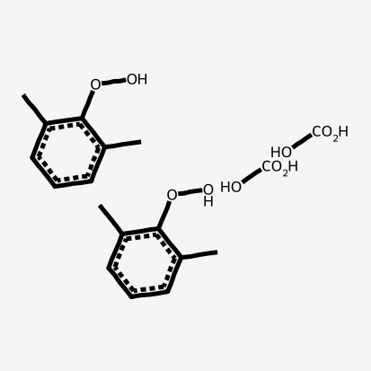 Cc1cccc(C)c1OO.Cc1cccc(C)c1OO.O=C(O)O.O=C(O)O